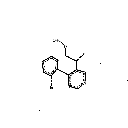 CC(COC=O)c1cncnc1-c1ccccc1Br